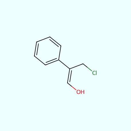 OC=C(CCl)c1ccccc1